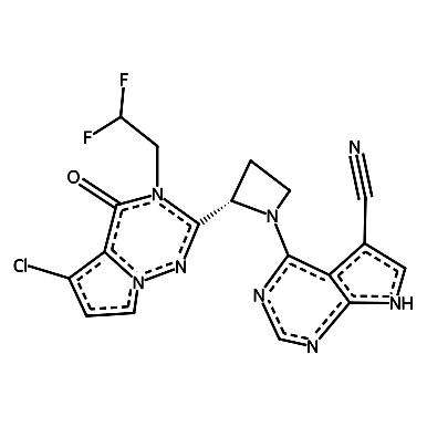 N#Cc1c[nH]c2ncnc(N3CC[C@H]3c3nn4ccc(Cl)c4c(=O)n3CC(F)F)c12